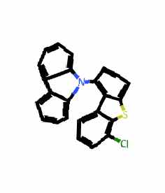 Clc1cccc2c1sc1cccc(-n3c4ccccc4c4ccccc43)c12